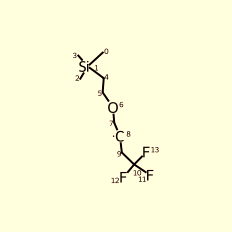 C[Si](C)(C)CCOC[CH]CC(F)(F)F